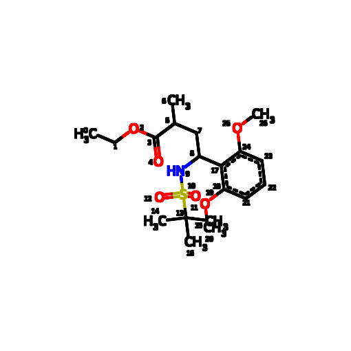 CCOC(=O)C(C)CC(NS(=O)(=O)C(C)(C)C)c1c(OC)cccc1OC